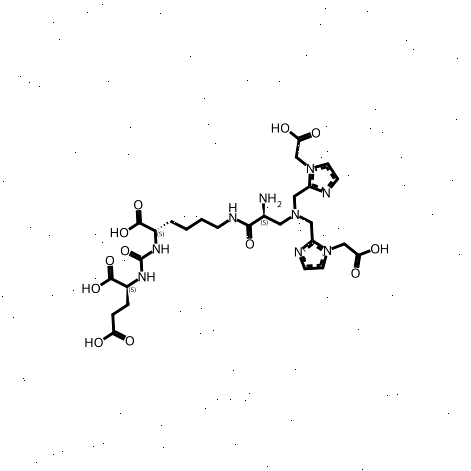 N[C@@H](CN(Cc1nccn1CC(=O)O)Cc1nccn1CC(=O)O)C(=O)NCCCC[C@H](NC(=O)N[C@@H](CCC(=O)O)C(=O)O)C(=O)O